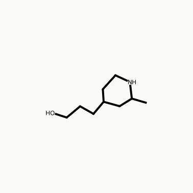 CC1CC(CCCO)CCN1